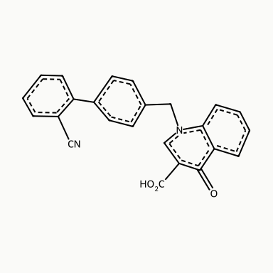 N#Cc1ccccc1-c1ccc(Cn2cc(C(=O)O)c(=O)c3ccccc32)cc1